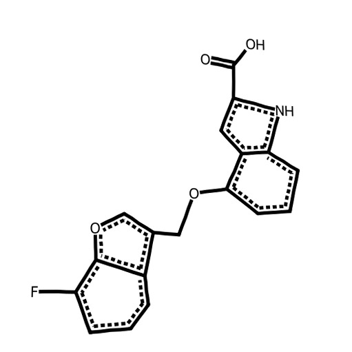 O=C(O)c1cc2c(OCc3coc4c(F)cccc34)cccc2[nH]1